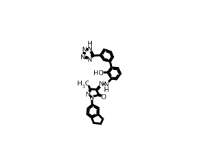 CC1=NN(c2ccc3c(c2)CCC3)C(=O)/C1=N\Nc1cccc(-c2cccc(-c3nnn[nH]3)c2)c1O